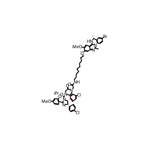 COc1ccc(C2=N[C@@H](c3ccc(Cl)cc3)[C@@H](c3ccc(Cl)cc3)N2C(=O)N2CCN(CC(=O)NCCCCCCCCCCOc3cc4nc(C)nc(N[C@H](C)c5cccc(Br)c5)c4cc3OC)C(=O)C2)c(OC(C)C)c1